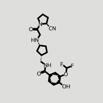 N#C[C@@H]1CCCN1C(=O)CN[C@@H]1CC[C@H](CNC(=O)c2ccc(O)c(OC(F)F)c2)C1